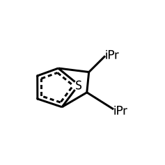 CC(C)C1c2ccc(s2)C1C(C)C